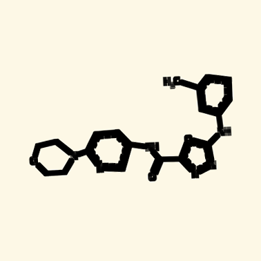 Cc1cccc(Nc2nnc(C(=O)Nc3ccc(N4CCOCC4)nc3)o2)c1